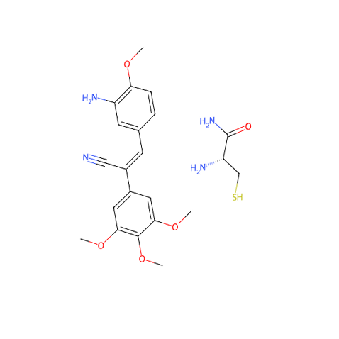 COc1ccc(C=C(C#N)c2cc(OC)c(OC)c(OC)c2)cc1N.NC(=O)[C@@H](N)CS